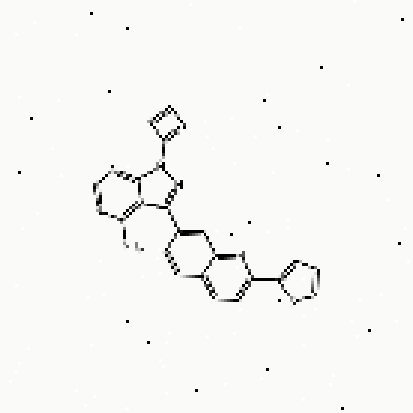 Nc1ncnc2c1c(-c1ccc3ccc(-c4cccs4)nc3c1)nn2C1=CC=C1